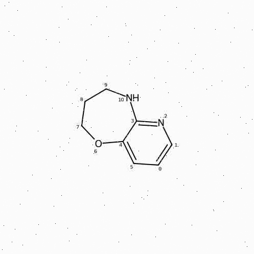 c1cnc2c(c1)OCCCN2